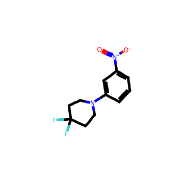 O=[N+]([O-])c1cccc(N2CCC(F)(F)CC2)c1